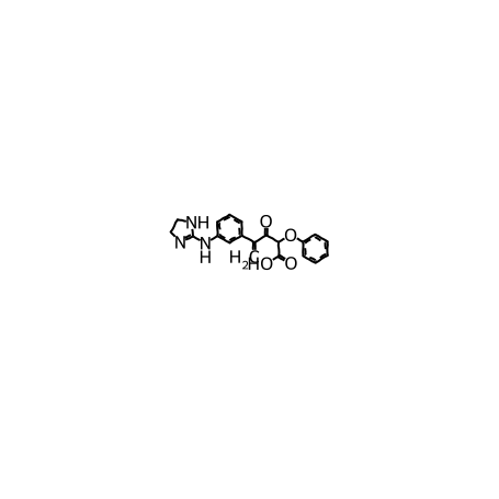 C=C(C(=O)C(Oc1ccccc1)C(=O)O)c1cccc(NC2=NCCN2)c1